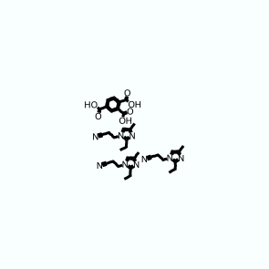 CCc1nc(C)cn1CCC#N.CCc1nc(C)cn1CCC#N.CCc1nc(C)cn1CCC#N.O=C(O)c1ccc(C(=O)O)c(C(=O)O)c1